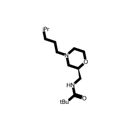 CC(C)CCCN1CCO[C@@H](CNC(=O)C(C)(C)C)C1